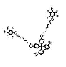 Fc1c(F)c(F)c(OCCCCCCCCOc2ccc(C3(c4ccc(OCCCCCCCCOc5c(F)c(F)c(F)c(F)c5F)cc4)c4cc(Br)ccc4-c4ccc(Br)cc43)cc2)c(F)c1F